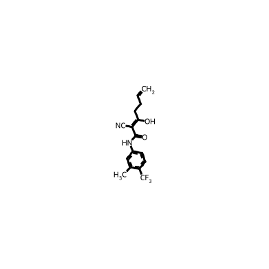 C=CCC/C(O)=C(\C#N)C(=O)Nc1ccc(C(F)(F)F)c(C)c1